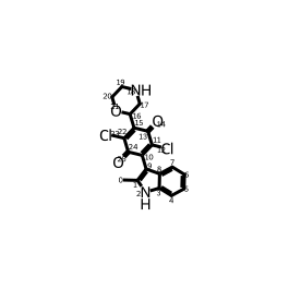 Cc1[nH]c2ccccc2c1C1=C(Cl)C(=O)C(C2CNCCO2)=C(Cl)C1=O